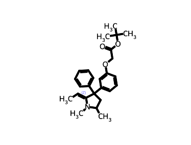 C/C=C1\N(C)C(C)CC1(c1ccccc1)c1cccc(OCC(=O)OC(C)(C)C)c1